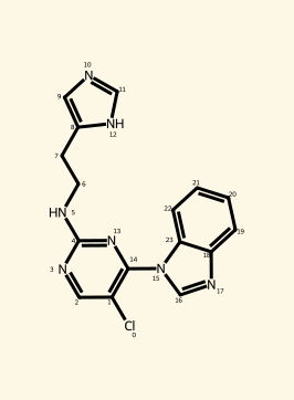 Clc1cnc(NCCc2cnc[nH]2)nc1-n1cnc2ccccc21